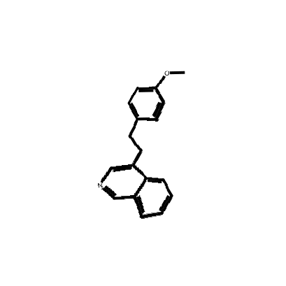 COc1ccc(CCc2cncc3ccccc23)cc1